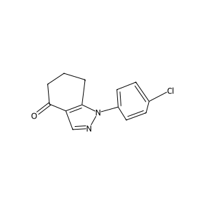 O=C1CCCc2c1cnn2-c1ccc(Cl)cc1